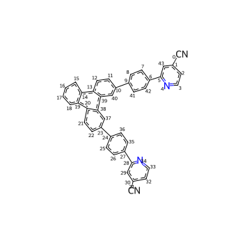 N#Cc1ccnc(-c2ccc(-c3ccc4c5ccccc5c5ccc(-c6ccc(-c7cc(C#N)ccn7)cc6)cc5c4c3)cc2)c1